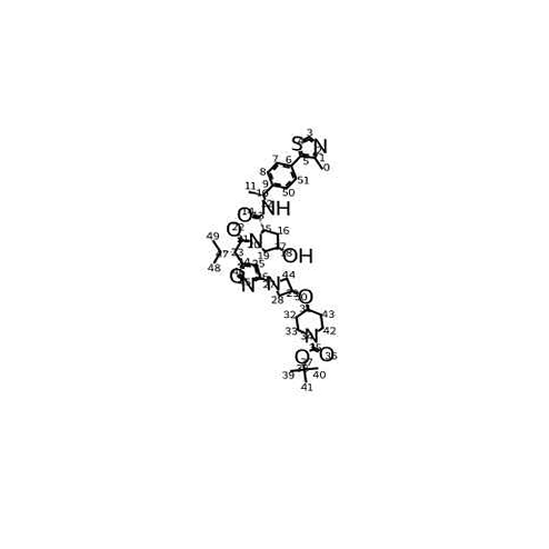 Cc1ncsc1-c1ccc([C@H](C)NC(=O)[C@@H]2C[C@@H](O)CN2C(=O)[C@H](c2cc(N3CC(OC4CCN(C(=O)OC(C)(C)C)CC4)C3)no2)C(C)C)cc1